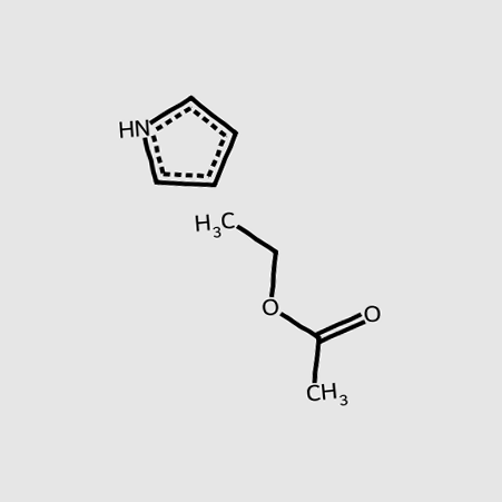 CCOC(C)=O.c1cc[nH]c1